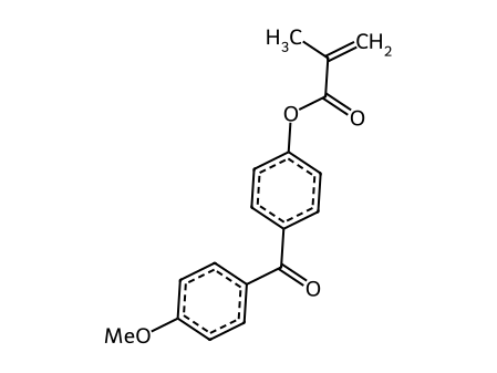 C=C(C)C(=O)Oc1ccc(C(=O)c2ccc(OC)cc2)cc1